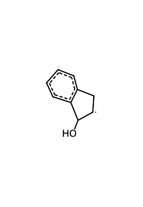 OC1[CH]Cc2ccccc21